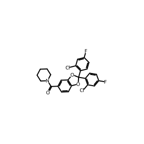 O=C(c1ccc2c(c1)OC(c1ccc(F)cc1Cl)(c1ccc(F)cc1Cl)O2)N1CCCCC1